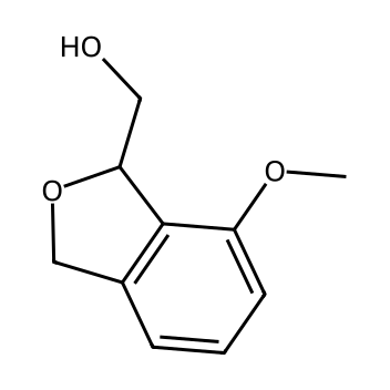 COc1cccc2c1C(CO)OC2